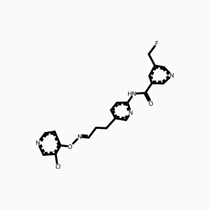 O=C(Nc1ccc(CC/C=N/Oc2ccncc2Cl)cn1)c1cncc(CF)c1